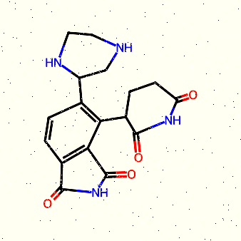 O=C1CCC(c2c(C3CNCCN3)ccc3c2C(=O)NC3=O)C(=O)N1